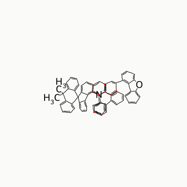 CC1(C)c2ccccc2C2(c3ccccc3-c3c(N(c4ccc(-c5cccc6oc7ccccc7c56)cc4)c4ccccc4-c4ccccc4-c4ccccc4-c4ccccc4)cccc32)c2ccccc21